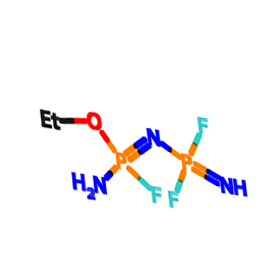 CCOP(N)(F)=NP(=N)(F)F